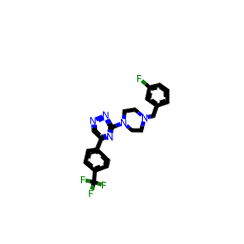 Fc1cccc(CN2CCN(c3nncc(-c4ccc(C(F)(F)F)cc4)n3)CC2)c1